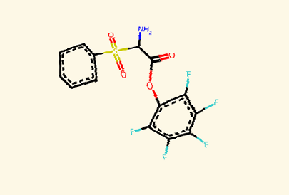 NC(C(=O)Oc1c(F)c(F)c(F)c(F)c1F)S(=O)(=O)c1ccccc1